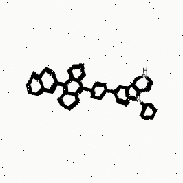 C1=Cc2c(c3cc(-c4ccc(-c5c6ccccc6c(-c6ccc7ccccc7c6)c6ccccc56)cc4)ccc3n2-c2ccccc2)CN1